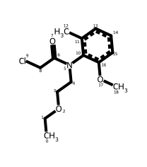 CCOCCN(C(=O)CCl)c1c(C)cccc1OC